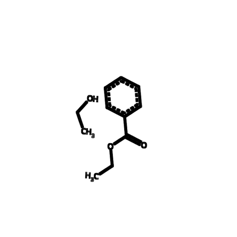 CCO.CCOC(=O)c1ccccc1